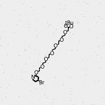 CC(C)(C)OC(=O)COCCOCCOCCOCCOCCOCCOc1cc(Br)ccn1